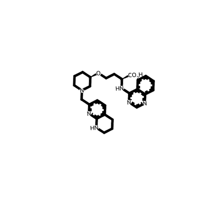 O=C(O)[C@H](CCO[C@@H]1CCCN(Cc2ccc3c(n2)NCCC3)C1)Nc1ncnc2ccccc12